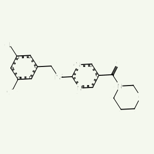 O=C(c1cnc(NCc2cc(Cl)cc(Cl)c2)nc1)N1CCCOC1